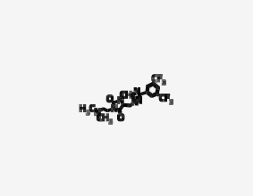 CN(C)CCN1C(=O)/C(=C/n2cnc(-c3cc(C(F)(F)F)cc(C(F)(F)F)c3)n2)N(C)C1=O